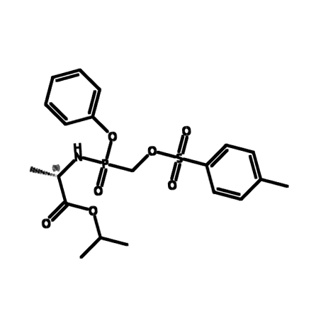 Cc1ccc(S(=O)(=O)OCP(=O)(N[C@@H](C)C(=O)OC(C)C)Oc2ccccc2)cc1